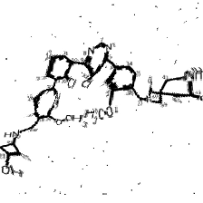 COc1cc(-c2ncnc(-c3cccc(-c4ccc(CNC5CC(O)C5)c(OC)n4)c3Cl)c2Cl)ccc1CN1CC2(CNC(=O)C2)C1